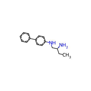 CC[C@H](N)CNc1ccc(-c2ccccc2)cc1